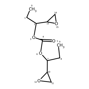 CCC(OC(=O)OC(CC)C1CO1)C1CO1